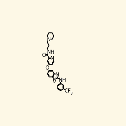 Cn1c(Nc2cccc(C(F)(F)F)c2)nc2cc(Oc3ccnc(C(=O)NCCCN4CCCCC4)c3)ccc21